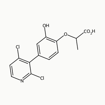 CC(Oc1ccc(-c2c(Cl)ccnc2Cl)cc1O)C(=O)O